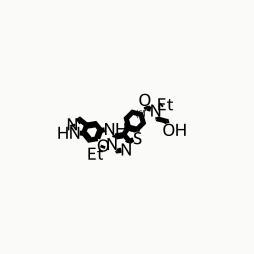 CCOc1cc2[nH]ncc2cc1Nc1ncnc2sc3c(c12)CC[C@H](C(=O)N(CC)CCO)C3